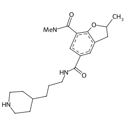 CNC(=O)c1cc(C(=O)NCCCC2CCNCC2)cc2c1OC(C)C2